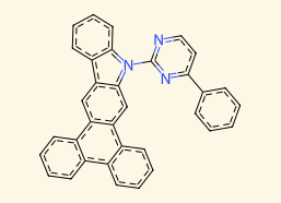 c1ccc(-c2ccnc(-n3c4ccccc4c4cc5c6ccccc6c6ccccc6c5cc43)n2)cc1